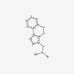 CC(=O)C(O)Cc1ncn2c1CCc1ccccc1-2